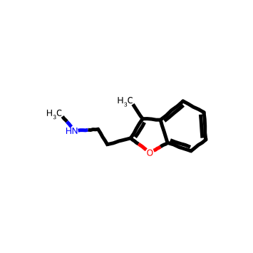 CNCCc1oc2ccccc2c1C